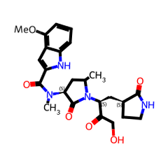 COc1cccc2[nH]c(C(=O)N(C)[C@H]3CC(C)N([C@@H](C[C@@H]4CCNC4=O)C(=O)CO)C3=O)cc12